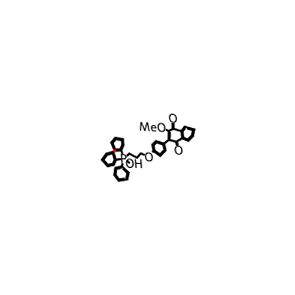 COC1=C(c2ccc(OCCCP(O)(c3ccccc3)(c3ccccc3)c3ccccc3)cc2)C(=O)c2ccccc2C1=O